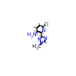 Cn1cnc(-c2nc(Cl)ccc2N)n1